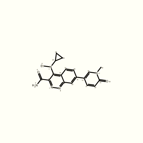 CCN(c1c(C(N)=O)nnc2cc(-c3ccc(=O)n(C)c3)ccc12)C1CC1